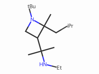 CCNC(C)(C)C1CN(C(C)(C)C)C1(C)CC(C)C